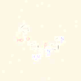 Cc1ccc(C(O)OCc2ccc([C@@H](CN)C(=O)Nc3ccc4cnccc4c3)cc2)c(C)c1